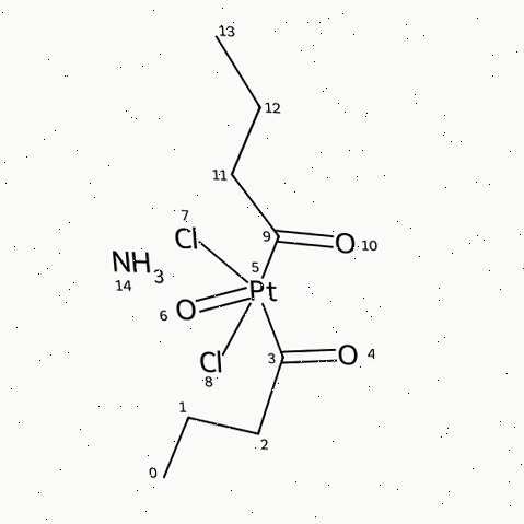 CCC[C](=O)[Pt](=[O])([Cl])([Cl])[C](=O)CCC.N